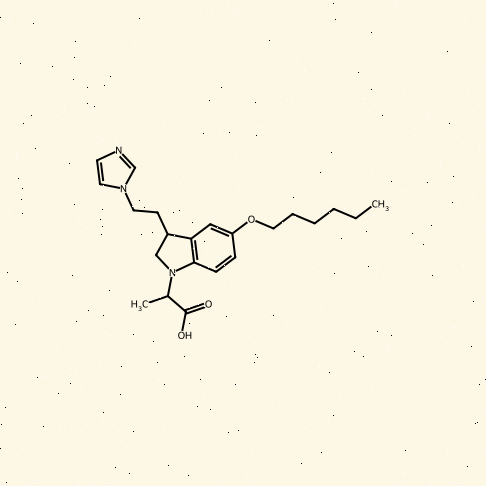 CCCCCCOc1ccc2c(c1)C(CCn1ccnc1)CN2C(C)C(=O)O